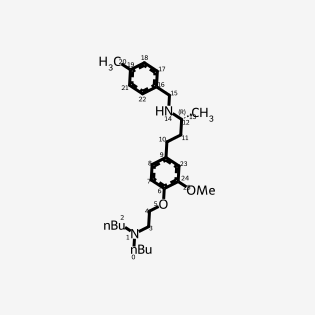 CCCCN(CCCC)CCOc1ccc(CC[C@@H](C)NCc2ccc(C)cc2)cc1OC